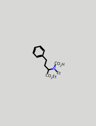 CCOC(=O)C(CCc1ccccc1)N(CC)C(=O)O